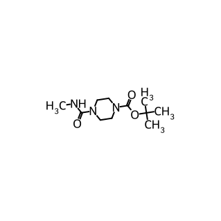 CNC(=O)N1CCN(C(=O)OC(C)(C)C)CC1